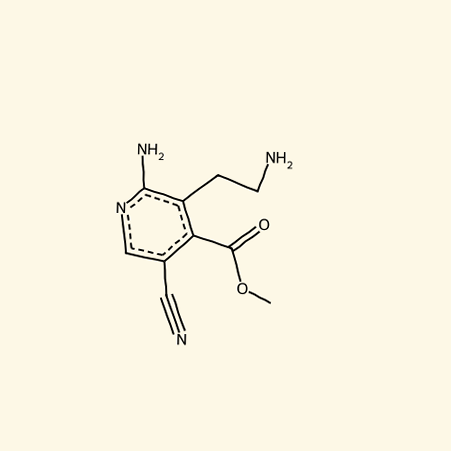 COC(=O)c1c(C#N)cnc(N)c1CCN